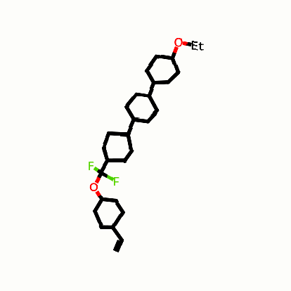 C=CC1CCC(OC(F)(F)C2CCC(C3CCC(C4CCC(OCC)CC4)CC3)CC2)CC1